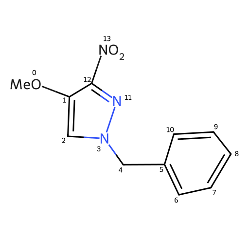 COc1cn(Cc2ccccc2)nc1[N+](=O)[O-]